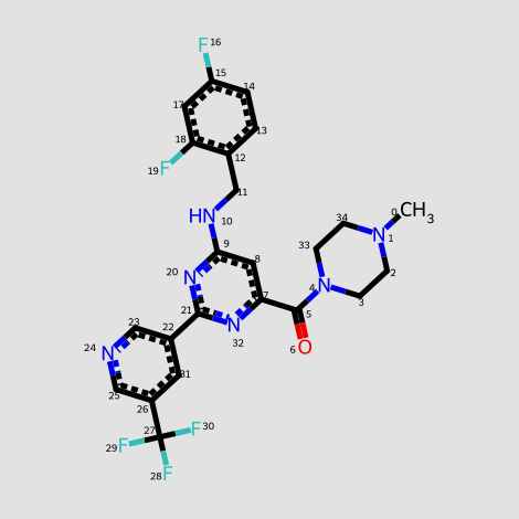 CN1CCN(C(=O)c2cc(NCc3ccc(F)cc3F)nc(-c3cncc(C(F)(F)F)c3)n2)CC1